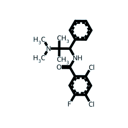 CN(C)C(C)(C)C(NC(=O)c1cc(F)c(Cl)cc1Cl)c1ccccc1